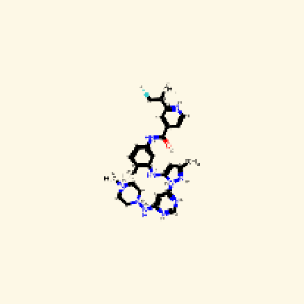 Cc1cc(Nc2cc(NC(=O)c3ccnc(C(C)CF)c3)ccc2C)n(-c2cc(NN3CCN(C)CC3)ncn2)n1